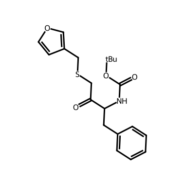 CC(C)(C)OC(=O)NC(Cc1ccccc1)C(=O)CSCc1ccoc1